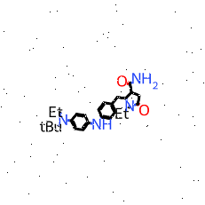 CCN1C(=O)CC(C(N)=O)C1Cc1ccc(Nc2ccc(N(CC)C(C)(C)C)cc2)cc1